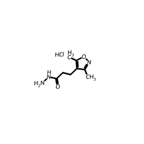 Cc1noc(C)c1CCC(=O)NN.Cl